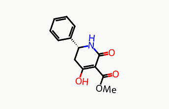 COC(=O)C1=C(O)C[C@H](c2ccccc2)NC1=O